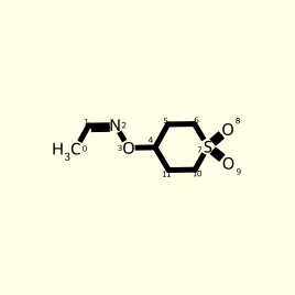 C/C=N\OC1CCS(=O)(=O)CC1